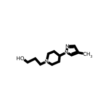 Cc1cnn(C2CCN(CCCO)CC2)c1